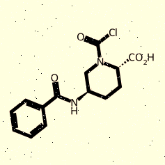 O=C(N[C@@H]1CC[C@@H](C(=O)O)N(C(=O)Cl)C1)c1ccccc1